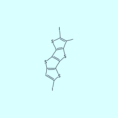 Cc1c(I)sc2c1sc1c3sc(I)cc3sc21